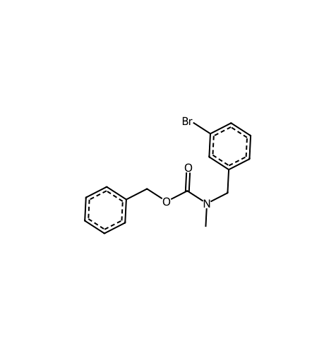 CN(Cc1cccc(Br)c1)C(=O)OCc1ccccc1